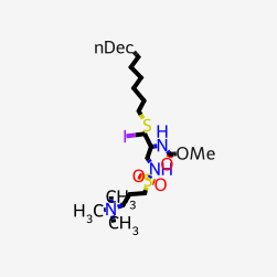 CCCCCCCCCCCCCCCCSC(I)C(CNS(=O)(=O)CCC[N+](C)(C)C)NC(=O)OC